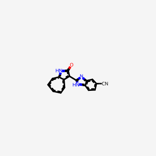 N#Cc1ccc2[nH]c(-c3c4cccccc-4[nH]c3=O)nc2c1